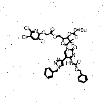 CC(C)(C)OC(=O)OC1C(COC(=O)COc2nc(Cl)c(Cl)cc2Cl)O[C@@H](n2cc(-c3cn(Cc4ccccc4)nn3)c(NC(=O)OCc3ccccc3)nc2=O)C1(C)F